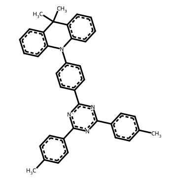 Cc1ccc(-c2nc(-c3ccc(C)cc3)nc(-c3ccc(N4c5ccccc5C(C)(C)c5ccccc54)cc3)n2)cc1